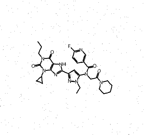 CCCn1c(=O)c2[nH]c(-c3cc(N(CC(=O)N4CCCCC4)C(=O)c4ccc(F)nc4)n(CC)n3)nc2n(C2CC2)c1=O